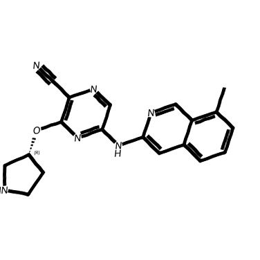 Cc1cccc2cc(Nc3cnc(C#N)c(O[C@@H]4CCNC4)n3)ncc12